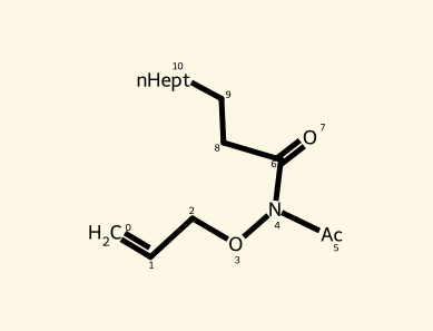 C=CCON(C(C)=O)C(=O)CCCCCCCCC